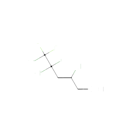 O=C(O)CC(Cl)CC(Cl)(Cl)C(F)(F)Cl